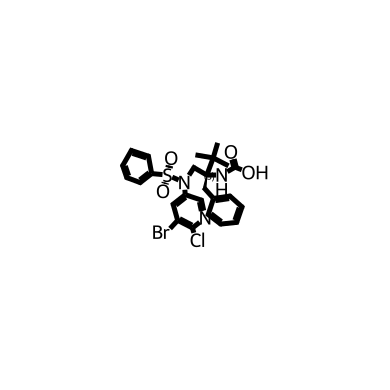 CC(C)(C)[C@@](Cc1ccccc1)(CN(c1cnc(Cl)c(Br)c1)S(=O)(=O)c1ccccc1)NC(=O)O